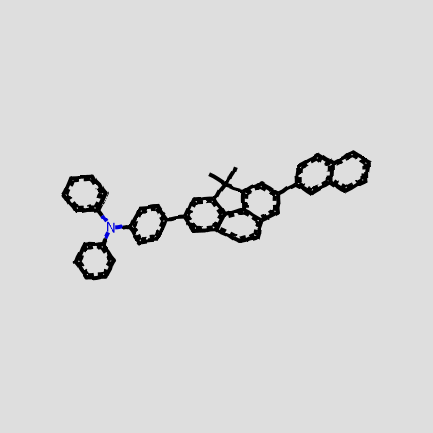 CC1(C)c2cc(-c3ccc(N(c4ccccc4)c4ccccc4)cc3)cc3ccc4cc(-c5ccc6ccccc6c5)cc1c4c23